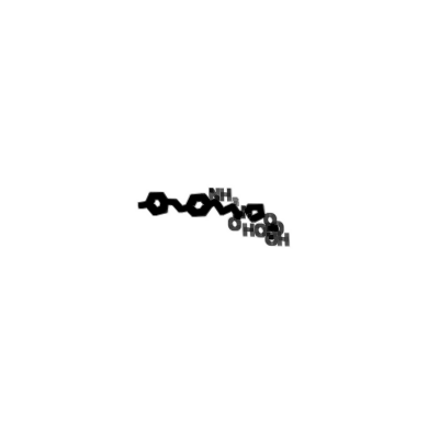 Cc1ccc(CCc2ccc(CCCC(=O)N3CC[C@@H](OP(=O)(O)O)C3)cc2)cc1.N